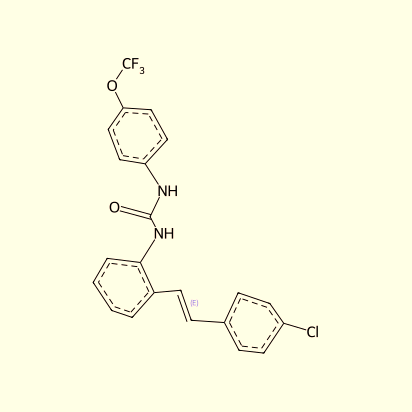 O=C(Nc1ccc(OC(F)(F)F)cc1)Nc1ccccc1/C=C/c1ccc(Cl)cc1